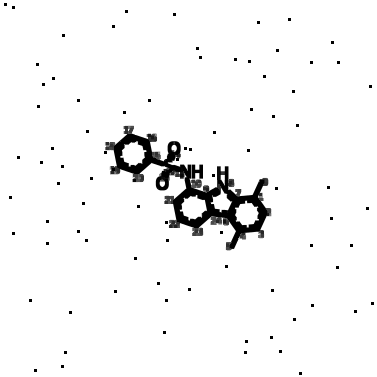 Cc1ccc(C)c2c1[nH]c1c(NS(=O)(=O)c3ccccc3)cccc12